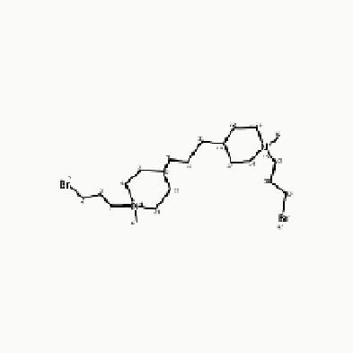 C[N+]1(CCCBr)CCC(CCCC2CC[N+](C)(CCCBr)CC2)CC1